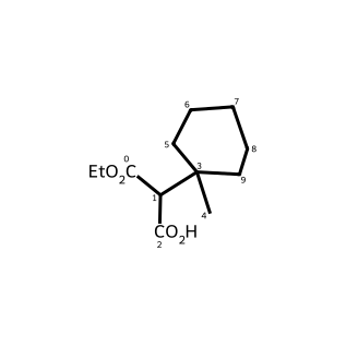 CCOC(=O)C(C(=O)O)C1(C)CCCCC1